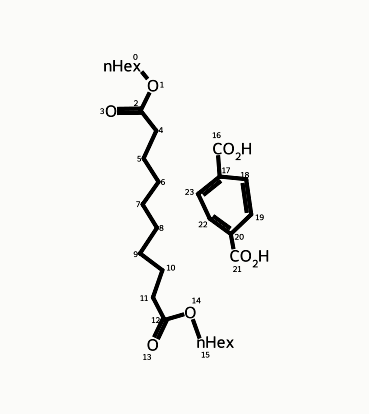 CCCCCCOC(=O)CCCCCCCCC(=O)OCCCCCC.O=C(O)c1ccc(C(=O)O)cc1